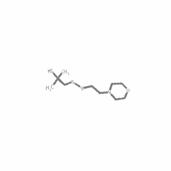 CC(C)(S)CSSCCN1CCOCC1